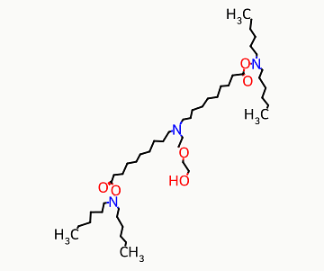 CCCCCCN(CCCCCC)OC(=O)CCCCCCCCCN(CCCCCCCCCC(=O)ON(CCCCCC)CCCCCC)CCOCCO